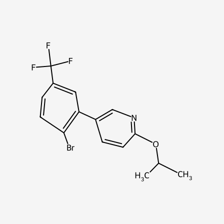 CC(C)Oc1ccc(-c2cc(C(F)(F)F)ccc2Br)cn1